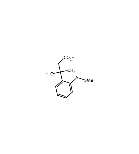 CSSc1ccccc1C(C)(C)CC(=O)O